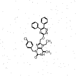 C=C1NC(=O)N(Cc2ccc(Cl)cc2)c2nc(COc3nnc(-c4ccccc4)c(-c4ccccc4)n3)n(CC)c21